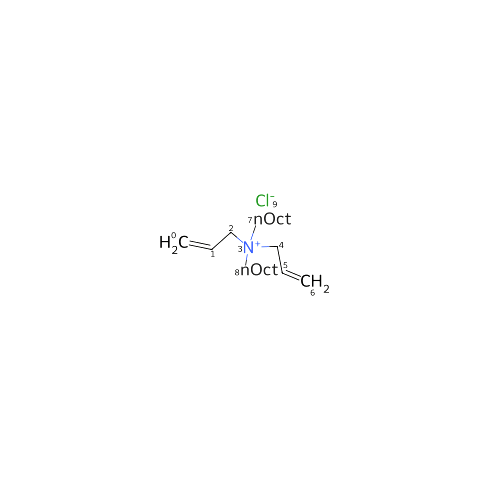 C=CC[N+](CC=C)(CCCCCCCC)CCCCCCCC.[Cl-]